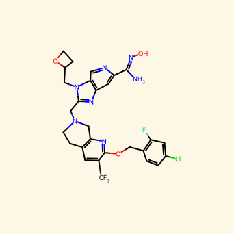 NC(=NO)c1cc2nc(CN3CCc4cc(C(F)(F)F)c(OCc5ccc(Cl)cc5F)nc4C3)n(CC3CCO3)c2cn1